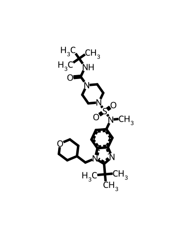 CN(c1ccc2c(c1)nc(C(C)(C)C)n2CC1CCOCC1)S(=O)(=O)N1CCN(C(=O)NC(C)(C)C)CC1